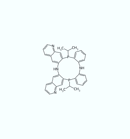 CC(C)P1c2ccccc2Nc2ccccc2P(C(C)C)c2cc3ncccc3cc2Nc2cc3cccnc3cc21